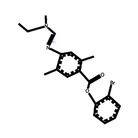 CCN(C)/C=N/c1cc(C)c(C(=O)Oc2ccccc2Br)cc1C